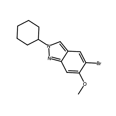 COc1cc2nn(C3CCCCC3)cc2cc1Br